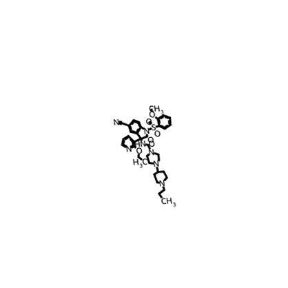 CCCN1CCC(N2CCN(C(=O)NC3(c4cccnc4OCC)C(=O)N(S(=O)(=O)c4ccccc4OC)c4ccc(C#N)cc43)CC2)CC1